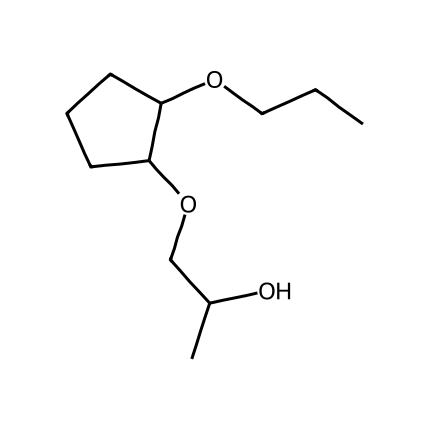 CCCOC1CCCC1OCC(C)O